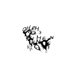 C[C@@H]1Cc2nn3c(c2CN1C(=O)Nc1ccc(F)c(C#N)c1F)C(=O)N(C)CC(CO)C3